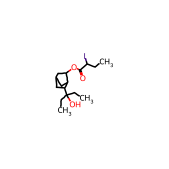 CCC(I)C(=O)OC1CC2CC1C(C(O)(CC)CC)C2